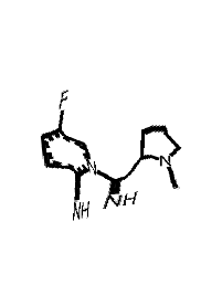 CN1CCCC1C(=N)n1cc(F)ccc1=N